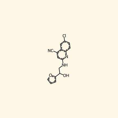 N#Cc1cc(NCC(O)c2ccco2)nc2ccc(Cl)cc12